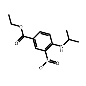 CCOC(=O)c1ccc(NC(C)C)c([N+](=O)[O-])c1